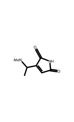 CNC(C)C1=CC(=O)NC1=O